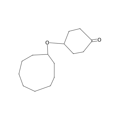 O=C1CCC(OC2CCCCCCCC2)CC1